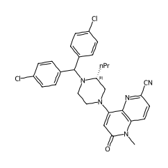 CCC[C@@H]1CN(c2cc(=O)n(C)c3ccc(C#N)nc23)CCN1C(c1ccc(Cl)cc1)c1ccc(Cl)cc1